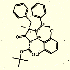 C[C@H](c1ccccc1)N1[C@@H](c2c(Cl)cccc2Cl)N(C(=O)OC(C)(C)C)C(=O)[C@@]1(C)Cc1ccccc1